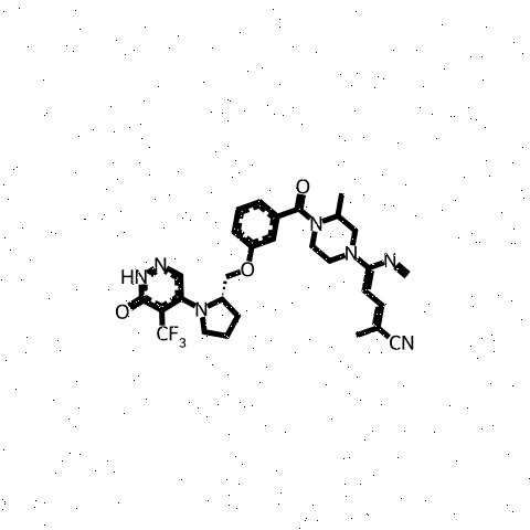 C=N/C(=C\C=C(/C)C#N)N1CCN(C(=O)c2cccc(OC[C@@H]3CCCN3c3cn[nH]c(=O)c3C(F)(F)F)c2)C(C)C1